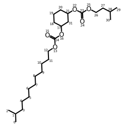 CC(C)CCCCCCCCCCOC(=O)OC1CCCC(OC(=O)OCCC(C)C)C1